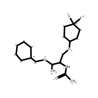 CC(=O)NC(COC1CCC(F)(F)CC1)C(C)OCC1CCCCC1